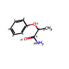 CC(Oc1ccccc1)C(N)=O